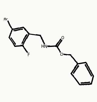 O=C(NCc1cc(Br)ccc1F)OCc1ccccc1